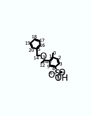 Cc1ccc(S(=O)(=O)O)cc1C(C)OCc1ccccc1